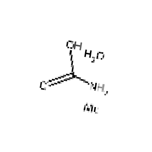 NC(=O)O.O.[Mo]